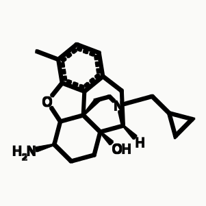 Cc1ccc2c3c1OC1[C@H](N)CC[C@@]4(O)[C@@H](C2)N(CC2CC2)CC[C@]314